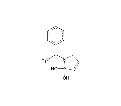 CC(c1ccccc1)N1CC=CS1(O)O